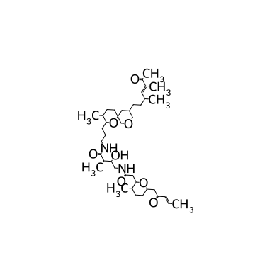 C/C=C/C(=O)CC1CCC(C)C(CC(=O)NCC(O)C(C)C(=O)NCCCC2OC3(CCC2C)COCC(CCC(C)/C=C(\C)C(C)=O)C3)O1